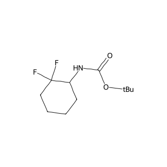 CC(C)(C)OC(=O)NC1CCCCC1(F)F